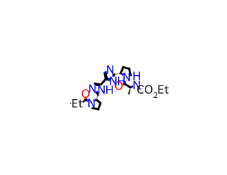 C[CH]C(=O)N1CCC[C@H]1c1ncc(-c2cnc([C@@H]3CCCN3C(=O)[C@H](C)NC(=O)OCC)[nH]2)[nH]1